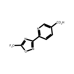 O=C(O)c1ccc(-c2noc(C(F)(F)F)n2)nc1